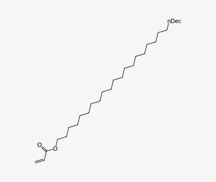 C=CC(=O)OCCCCCCCCCCCCCCCCCCCCCCCCCCCCCC